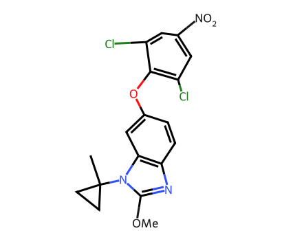 COc1nc2ccc(Oc3c(Cl)cc([N+](=O)[O-])cc3Cl)cc2n1C1(C)CC1